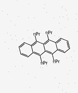 CCCc1c2ccccc2c(CCC)c2c(CCC)c3ccccc3c(CCC)c12